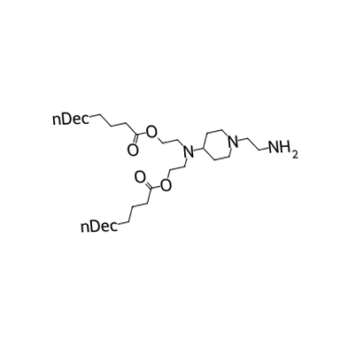 CCCCCCCCCCCCCC(=O)OCCN(CCOC(=O)CCCCCCCCCCCCC)C1CCN(CCN)CC1